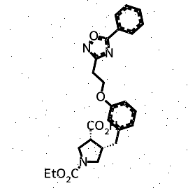 CCOC(=O)N1C[C@@H](Cc2cccc(OCCc3noc(-c4ccccc4)n3)c2)[C@@H](C(=O)O)C1